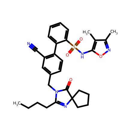 CCCCC1=NC2(CCCC2)C(=O)N1Cc1ccc(-c2ccccc2S(=O)(=O)Nc2onc(C)c2C)c(C#N)c1